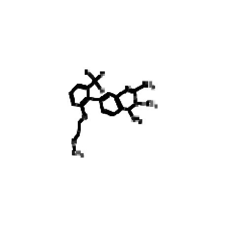 COCCOc1cccc(C(F)(F)F)c1-c1ccc2c(c1)N=C(N)N(C)C2N